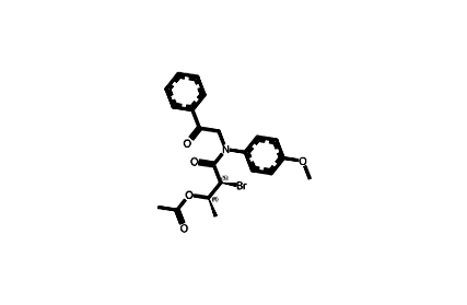 COc1ccc(N(CC(=O)c2ccccc2)C(=O)[C@@H](Br)[C@@H](C)OC(C)=O)cc1